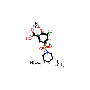 CC[C@@H]1C[C@H](CC)CN(S(=O)(=O)c2cc(Cl)c(OC)c(C(=O)O)c2)C1